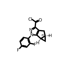 O=C(Cl)c1nn(-c2ccc(F)cc2F)c2c1C[C@H]1C[C@@H]21